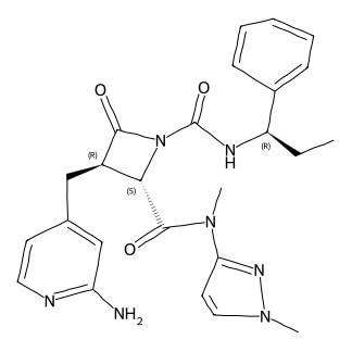 CC[C@@H](NC(=O)N1C(=O)[C@H](Cc2ccnc(N)c2)[C@H]1C(=O)N(C)c1ccn(C)n1)c1ccccc1